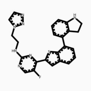 Fc1cnc(NCCn2ccnn2)nc1-c1cc2cccc(-c3cccc4c3CCN4)c2s1